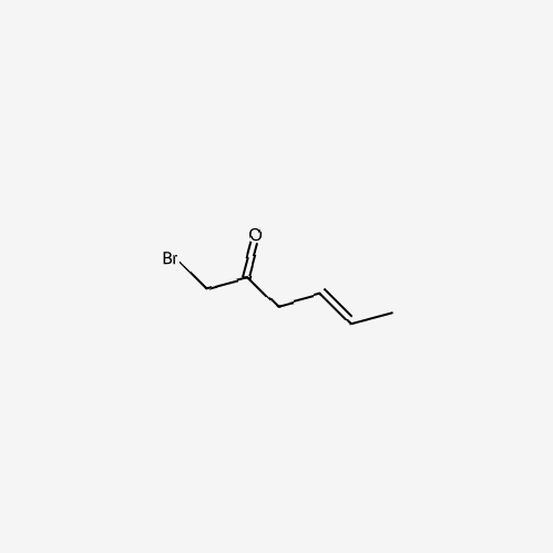 CC=CCC(=O)CBr